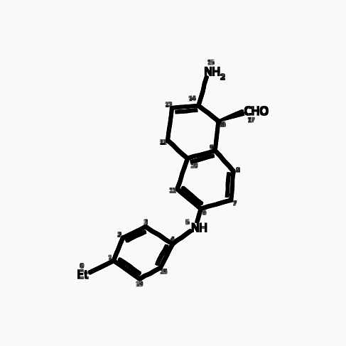 CCc1ccc(Nc2ccc3c(c2)CC=C(N)[C@H]3C=O)cc1